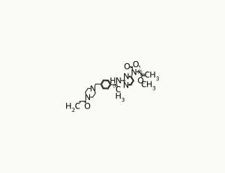 C=CC(=O)N1CCN(Cc2ccc([C@H](C)Nc3nccc(N4C(=O)OC[C@@H]4[C@@H](C)OC)n3)cc2)CC1